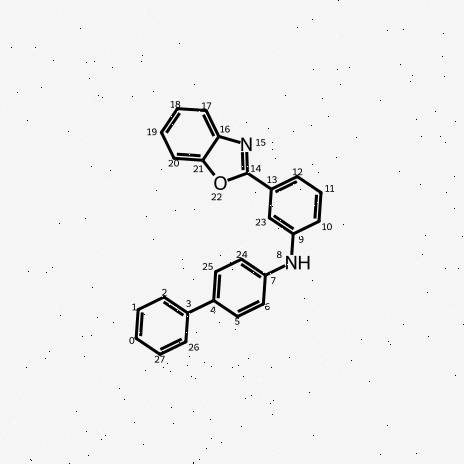 c1ccc(-c2ccc(Nc3cccc(-c4nc5ccccc5o4)c3)cc2)cc1